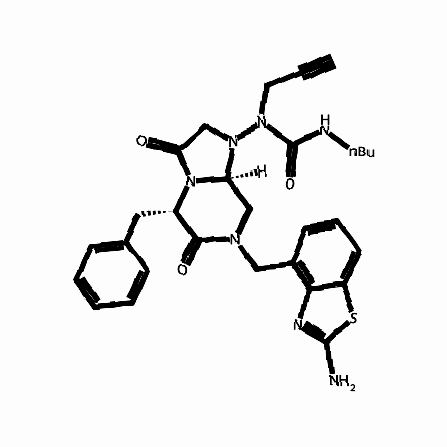 C#CCN(C(=O)NCCCC)N1CC(=O)N2[C@@H](Cc3ccccc3)C(=O)N(Cc3cccc4sc(N)nc34)C[C@@H]21